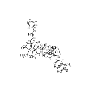 CC(C)C1=C2[C@H]3CC[C@@H]4[C@@]5(C)CC[C@H](OC(=O)CC(C)(C)C(=O)O)C(C)(C)[C@@H]5CC[C@@]4(C)[C@]3(C)CC[C@@]2(CCNCc2cccnc2)CC1=O